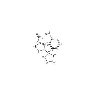 CCCc1cccc(C2(C3CSC(N)=N3)CCCC2)c1